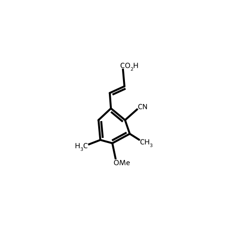 COc1c(C)cc(C=CC(=O)O)c(C#N)c1C